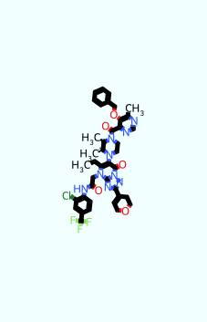 CCc1c(N2CCN(C(=O)c3ncnc(C)c3OCc3ccccc3)[C@H](C)[C@H]2C)c(=O)n2nc(C3=CCOCC3)nc2n1CC(=O)Nc1ccc(C(F)(F)F)cc1Cl